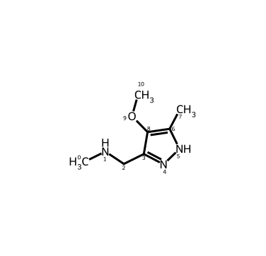 CNCc1n[nH]c(C)c1OC